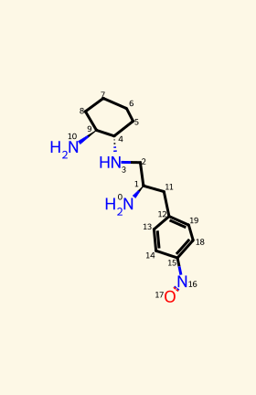 N[C@@H](CN[C@H]1CCCC[C@@H]1N)Cc1ccc(N=O)cc1